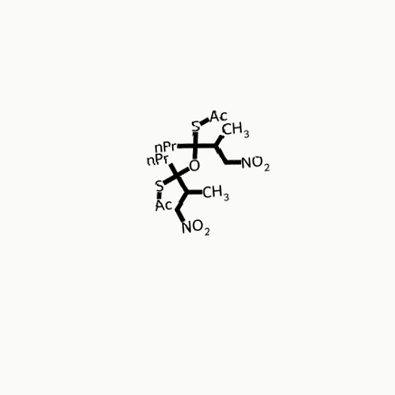 CCCC(OC(CCC)(SC(C)=O)C(C)C[N+](=O)[O-])(SC(C)=O)C(C)C[N+](=O)[O-]